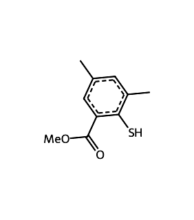 COC(=O)c1cc(C)cc(C)c1S